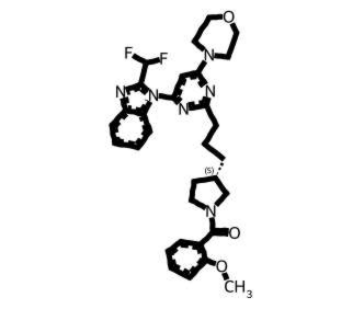 COc1ccccc1C(=O)N1CC[C@H](CCCc2nc(N3CCOCC3)cc(-n3c(C(F)F)nc4ccccc43)n2)C1